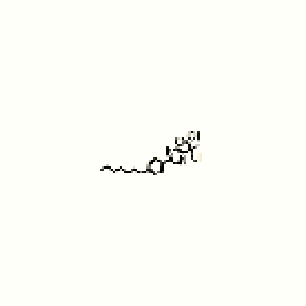 CCCCCCCc1ccc(-c2cnc([C@@](C)(Cl)C(=O)O)cn2)cc1